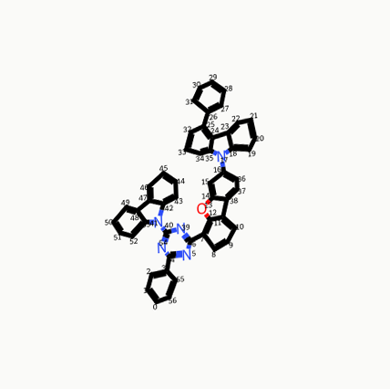 c1ccc(-c2nc(-c3cccc4c3oc3cc(-n5c6ccccc6c6c(-c7ccccc7)cccc65)ccc34)nc(-n3c4ccccc4c4ccccc43)n2)cc1